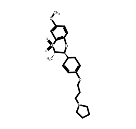 COc1ccc2c(c1)S(=O)(=O)[C@@H](C)[C@H](C1C=CC(OCCCN3CCCC3)=CC1)O2